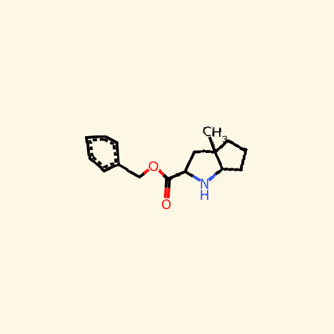 CC12CCCC1NC(C(=O)OCc1ccccc1)C2